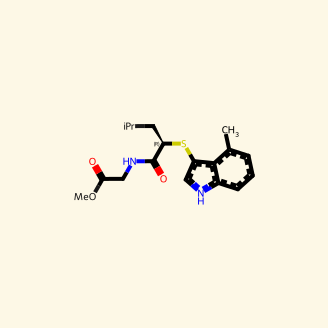 COC(=O)CNC(=O)[C@@H](CC(C)C)Sc1c[nH]c2cccc(C)c12